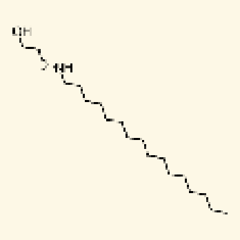 CCCCCCCCCCCCCCCCNOCCO